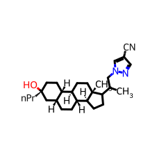 CCC[C@@]1(O)CC[C@H]2[C@H](CC[C@@H]3[C@@H]2CC[C@]2(C)C(C(C)Cn4cc(C#N)cn4)CC[C@@H]32)C1